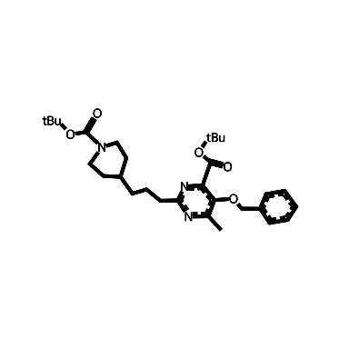 Cc1nc(CCCC2CCN(C(=O)OC(C)(C)C)CC2)nc(C(=O)OC(C)(C)C)c1OCc1ccccc1